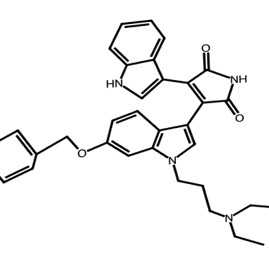 CCN(CC)CCCn1cc(C2=C(c3c[nH]c4ccccc34)C(=O)NC2=O)c2ccc(OCc3ccccc3)cc21